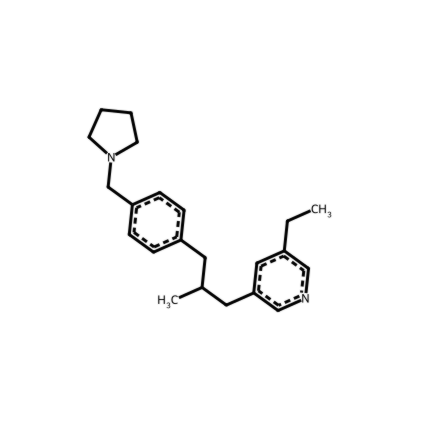 CCc1cncc(CC(C)Cc2ccc(CN3CCCC3)cc2)c1